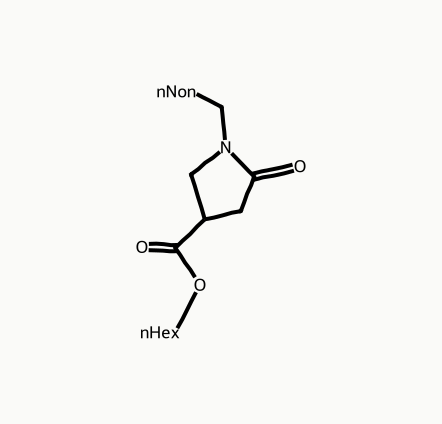 CCCCCCCCCCN1CC(C(=O)OCCCCCC)CC1=O